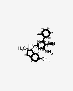 Cc1ccc2c(c1)[C@H](Nc1nc(N)c(C#N)c(-c3ccccc3F)n1)[C@@H](C)C2